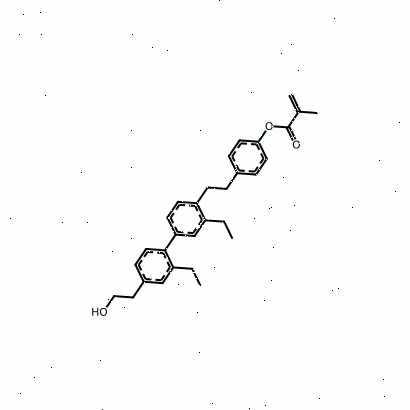 C=C(C)C(=O)Oc1ccc(CCc2ccc(-c3ccc(CCO)cc3CC)cc2CC)cc1